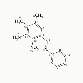 Cc1cc(N=Nc2ccccc2)c([N+](=O)[O-])c(N)c1C